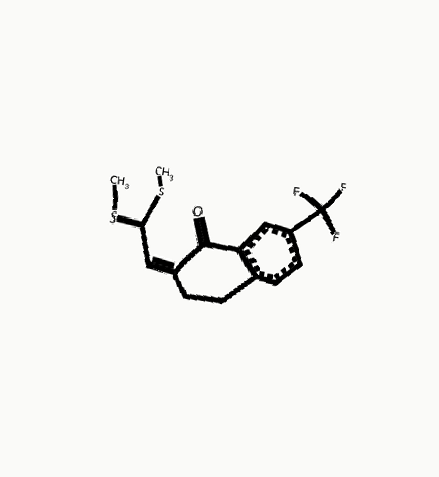 CSC(C=C1CCc2ccc(C(F)(F)F)cc2C1=O)SC